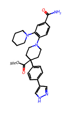 COC(=O)C1(c2ccc(-c3cn[nH]c3)cc2)CCN(c2ccc(C(N)=O)cc2N2CCCCC2)CC1